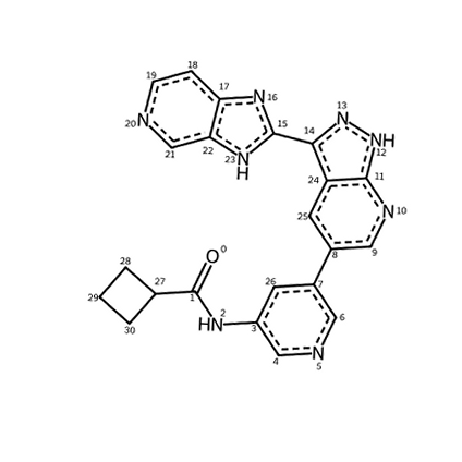 O=C(Nc1cncc(-c2cnc3[nH]nc(-c4nc5ccncc5[nH]4)c3c2)c1)C1CCC1